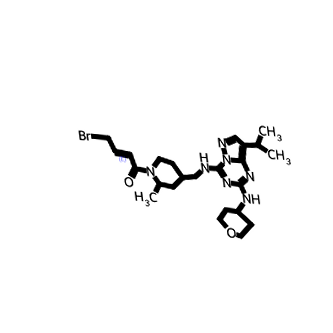 CC(C)c1cnn2c(NCC3CCN(C(=O)/C=C/CBr)C(C)C3)nc(NC3CCOCC3)nc12